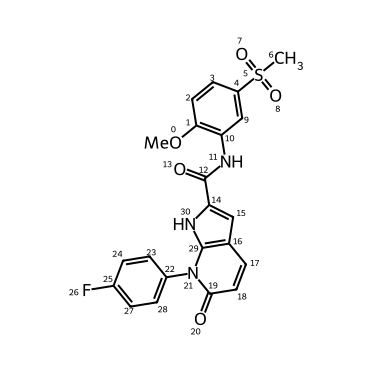 COc1ccc(S(C)(=O)=O)cc1NC(=O)c1cc2ccc(=O)n(-c3ccc(F)cc3)c2[nH]1